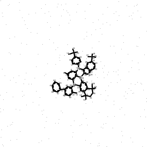 Cc1cc2c3c(c1)N(c1ccc(C(C)(C)C)cc1)c1c(sc4ccc(C(C)(C)C)cc14)B3c1cc3c(cc1N2c1cc(-c2ccccc2)ccc1C)C(C)(C)CCC3(C)C